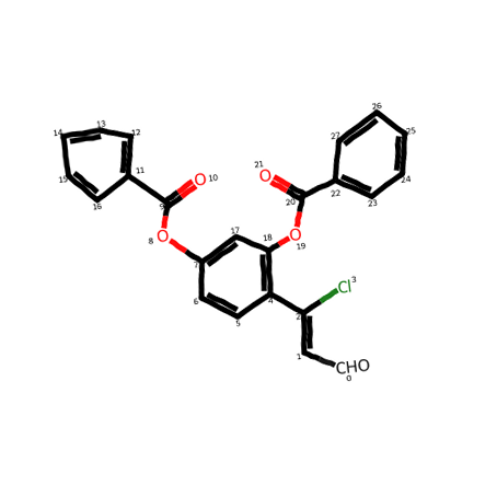 O=CC=C(Cl)c1ccc(OC(=O)c2ccccc2)cc1OC(=O)c1ccccc1